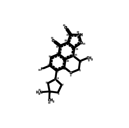 CC1COc2c(N3CCC(C)(N)C3)c(F)cc3c(=O)c4c(=O)[nH]oc4n1c23